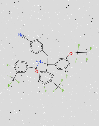 N#Cc1ccc(C[C@](NC(=O)c2ccc(F)c(C(F)(F)F)c2)(c2cc(F)cc(OC(F)(F)C(F)F)c2)c2ccc(F)c(C(F)(F)F)c2)cc1